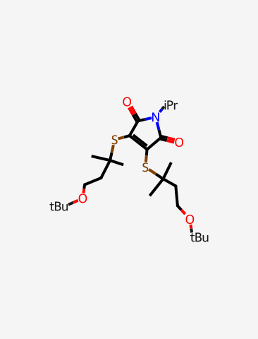 CC(C)N1C(=O)C(SC(C)(C)CCOC(C)(C)C)=C(SC(C)(C)CCOC(C)(C)C)C1=O